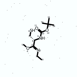 CCN=C(OC)[C@H](CS)NC(=O)OC(C)(C)C